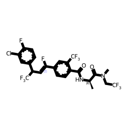 C[C@@H](NC(=O)c1ccc(/C(F)=C/C(c2ccc(F)c(Cl)c2)C(F)(F)F)cc1C(F)(F)F)C(=O)N(C)CC(F)(F)F